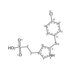 O=S(=O)(O)CCc1c[nH]c(Sc2ccc(Cl)cc2)c1